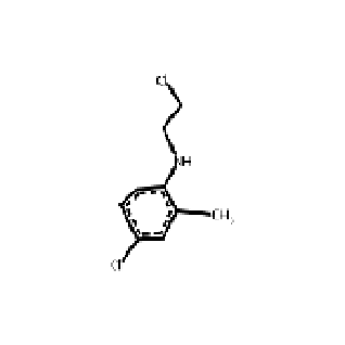 Cc1cc(Cl)ccc1NCCCl